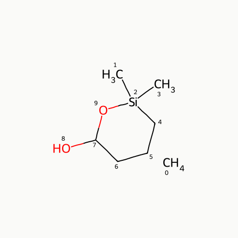 C.C[Si]1(C)CCCC(O)O1